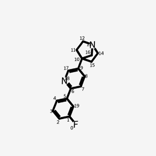 Fc1cccc(-c2ccc(C34CCN(CC3)C4)cn2)c1